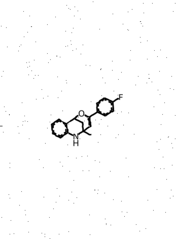 CC12C=C(c3ccc(F)cc3)OC(C1)c1ccccc1N2